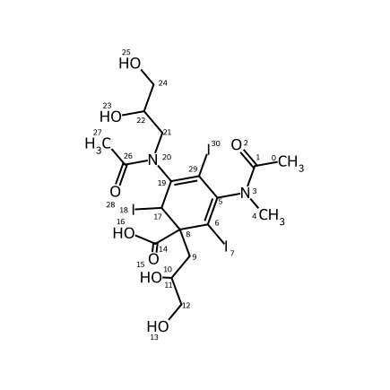 CC(=O)N(C)C1=C(I)C(CC(O)CO)(C(=O)O)C(I)C(N(CC(O)CO)C(C)=O)=C1I